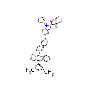 Cc1cc(C)cc(-c2c3ccccc3c(-c3ccc4cc(-c5ccc6c(c5)c5ccc7c8ccccc8oc7c5n6-c5ccccc5)ccc4c3)c3ccccc23)c1